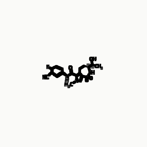 C[C@H](O)[C@H]1CCc2c(cn(C)c2C(=O)Nc2ccc(F)c(C#N)c2)S(=O)(=O)N1